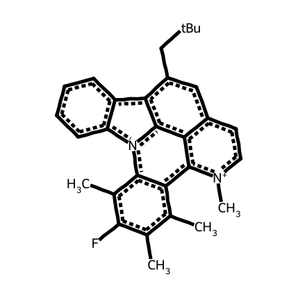 Cc1c(F)c(C)c2c(c1C)c1c3c(cc[n+]1C)cc(CC(C)(C)C)c1c4ccccc4n2c13